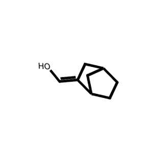 OC=C1CC2CCC1C2